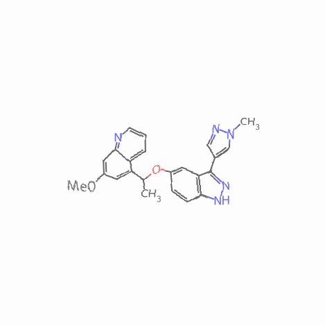 COc1cc(C(C)Oc2ccc3[nH]nc(-c4cnn(C)c4)c3c2)c2cccnc2c1